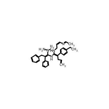 C=CC/C(=C(/NC/C=C\N=C\C)N/C(=C(/Cc1ccccc1)c1ccccc1)N(C)N)c1ccc(CC)cc1